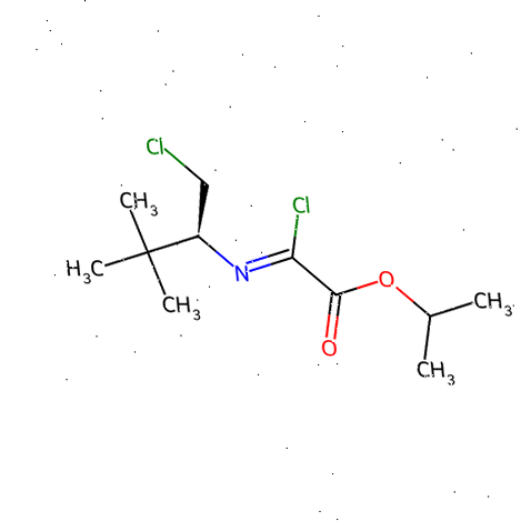 CC(C)OC(=O)/C(Cl)=N/[C@H](CCl)C(C)(C)C